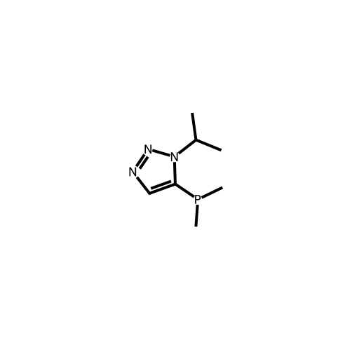 CC(C)n1nncc1P(C)C